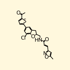 CC(=O)c1ccc(-c2cc(Cl)c3c(c2)CC(CNC(=O)C=Cc2cc(C)on2)O3)s1